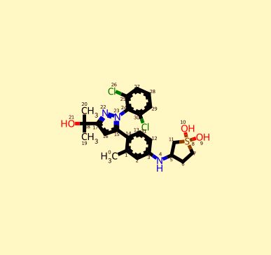 Cc1cc(NC2CCS(O)(O)C2)ccc1-c1cc(C(C)(C)O)nn1-c1c(Cl)cccc1Cl